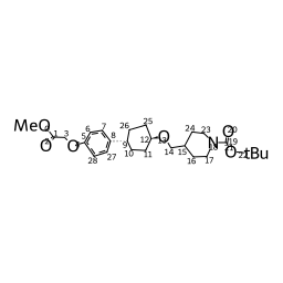 COC(=O)COc1ccc([C@H]2CC[C@H](OCC3CCN(C(=O)OC(C)(C)C)CC3)CC2)cc1